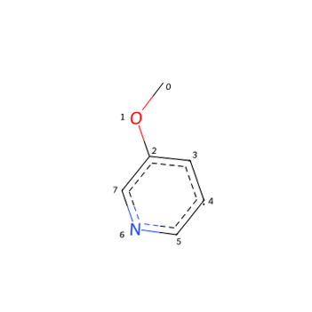 COc1c[c]cnc1